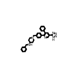 c1ccc(CNC2CCN(Cc3ccc(-c4ncc(-c5nnn[nH]5)cc4-c4ccccc4)cc3)CC2)cc1